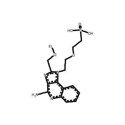 CCOCc1nc2c(N)nc3ccccc3c2n1CCOCCP(=O)(O)O